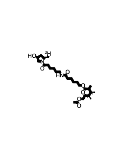 [2H]C[C@@H]1C[C@@H](O)CN1C(=O)CCCCCNC(=O)CCCCCO[C@@H]1OC(COC(C)=O)[C@H](C)[C@H](C)C1C